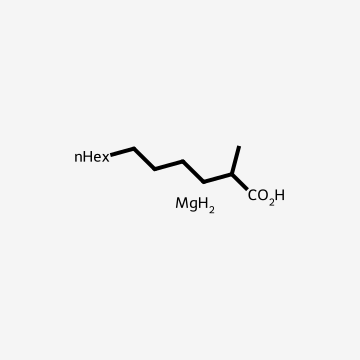 CCCCCCCCCCC(C)C(=O)O.[MgH2]